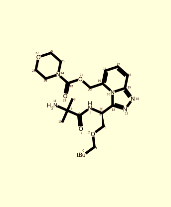 CC(C)(C)COC[C@@H](NC(=O)C(C)(C)N)c1nnc2cccc(COC(=O)N3CCOCC3)n12